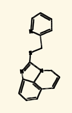 C1=Cc2cccc3nc(SCc4ccccn4)n(c23)C1